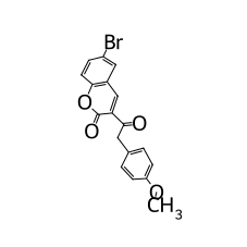 COc1ccc(CC(=O)c2cc3cc(Br)ccc3oc2=O)cc1